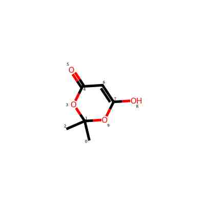 CC1(C)OC(=O)C=C(O)O1